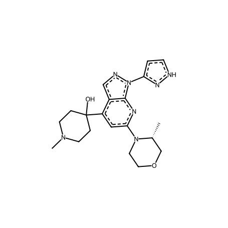 C[C@@H]1COCCN1c1cc(C2(O)CCN(C)CC2)c2cnn(-c3cc[nH]n3)c2n1